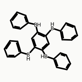 B(c1ccccc1)c1cc(Bc2ccccc2)c(Bc2ccccc2)cc1Bc1ccccc1